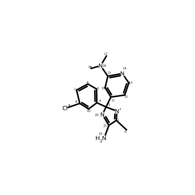 CC1=NC(c2cccc(Cl)c2)(c2ccnc(N(C)C)c2)N=C1N